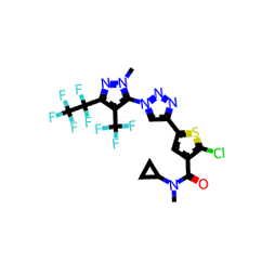 CN(C(=O)c1cc(-c2cn(-c3c(C(F)(F)F)c(C(F)(F)C(F)(F)F)nn3C)nn2)sc1Cl)C1CC1